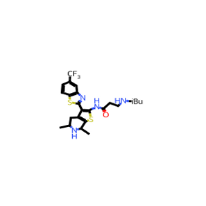 CCC(C)NCCC(=O)Nc1sc2c(c1-c1nc3cc(C(F)(F)F)ccc3s1)CC(C)NC2C